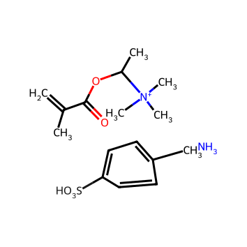 C=C(C)C(=O)OC(C)[N+](C)(C)C.Cc1ccc(S(=O)(=O)O)cc1.N